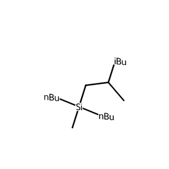 CCCC[Si](C)(CCCC)CC(C)C(C)CC